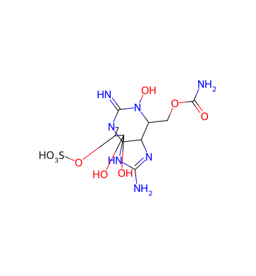 N=C1N(O)C(COC(N)=O)C2N=C(N)NC23N1CC(OS(=O)(=O)O)C3(O)O